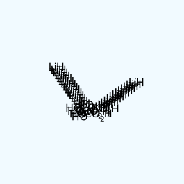 O=C(O)O.O=C(O)O.O=C(O)O.O=C(O)O.O=C(O)O.[LiH].[LiH].[LiH].[LiH].[LiH].[LiH].[LiH].[LiH].[LiH].[LiH].[LiH].[LiH].[LiH].[LiH].[LiH].[LiH].[LiH].[LiH].[LiH].[LiH].[LiH].[LiH].[LiH].[LiH].[LiH].[LiH].[LiH]